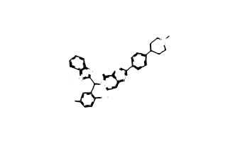 CN1CCC(c2ccc(-c3nc4ccn(C(c5nc6ccccc6[nH]5)c5cc(F)ccc5O)c(=O)c4s3)cc2)CC1